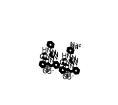 O=S(=O)([O-])c1ccccc1/C=C/c1ccccc1Nc1nnnc(Nc2ccccc2)c1N1CCOCC1.O=S(=O)([O-])c1ccccc1/C=C/c1ccccc1Nc1nnnc(Nc2ccccc2)c1N1CCOCC1.[Na+].[Na+]